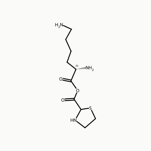 NCCCC[C@H](N)C(=O)OC(=O)C1NCCS1